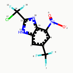 O=[N+]([O-])c1cc(C(F)(F)F)cc2[nH]c(C(F)(F)Cl)nc12